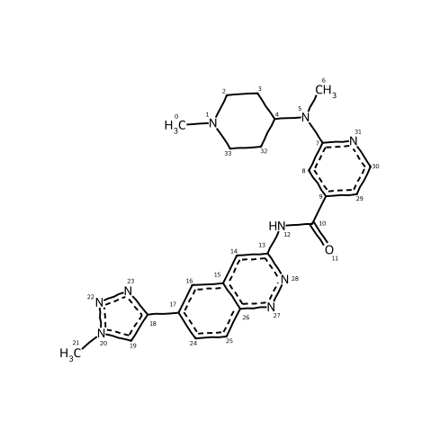 CN1CCC(N(C)c2cc(C(=O)Nc3cc4cc(-c5cn(C)nn5)ccc4nn3)ccn2)CC1